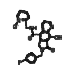 O=C(NCc1cccc[n+]1[O-])c1c2c(c(O)c3ncccc13)C(=O)N(Cc1ccc(F)cc1)C2